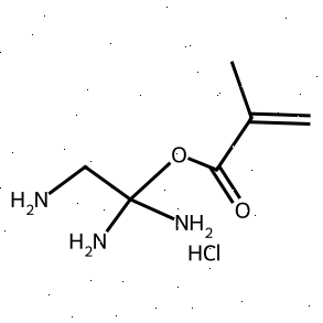 C=C(C)C(=O)OC(N)(N)CN.Cl